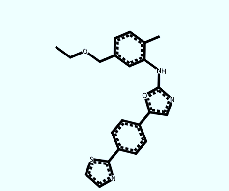 CCOCc1ccc(C)c(Nc2ncc(-c3ccc(-c4nccs4)cc3)o2)c1